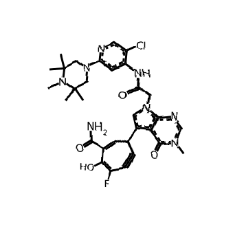 CN1C(C)(C)CN(c2cc(NC(=O)Cn3cc(C4C#CC(F)=C(O)C(C(N)=O)=C4)c4c(=O)n(C)cnc43)c(Cl)cn2)CC1(C)C